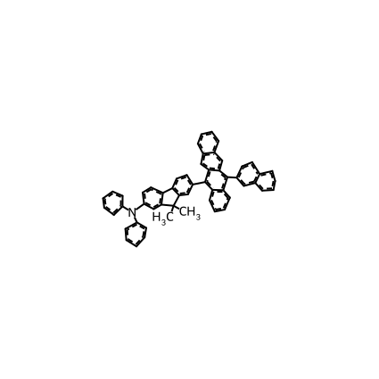 CC1(C)c2cc(-c3c4ccccc4c(-c4ccc5ccccc5c4)c4cc5ccccc5cc34)ccc2-c2ccc(N(c3ccccc3)c3ccccc3)cc21